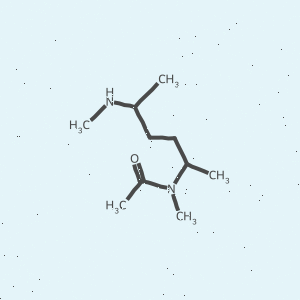 CNC(C)CCC(C)N(C)C(C)=O